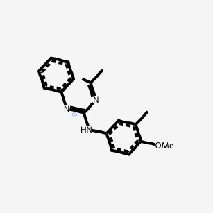 COc1ccc(N/C(N=C(C)C)=N/c2ccccc2)cc1C